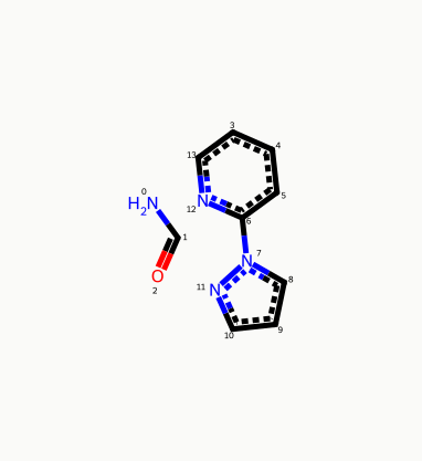 NC=O.c1ccc(-n2cccn2)nc1